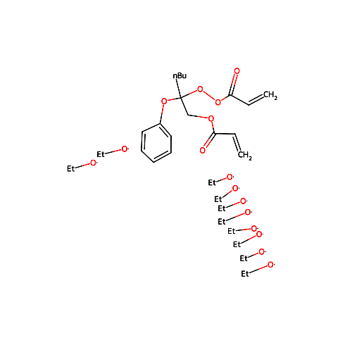 C=CC(=O)OCC(CCCC)(OOC(=O)C=C)Oc1ccccc1.[CH2]C[O].[CH2]C[O].[CH2]C[O].[CH2]C[O].[CH2]C[O].[CH2]C[O].[CH2]C[O].[CH2]C[O].[CH2]C[O].[CH2]C[O]